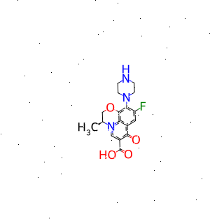 C[C@H]1COc2c(N3CCNCC3)c(F)cc3c(=O)c(C(=O)O)cn1c23